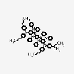 CCCCc1ccc(N(c2ccc(CCCC)cc2)c2cc3c4c(c2)N(c2ccccc2)c2cc5c(cc2B4c2ccccc2N3c2ccccc2)B2c3ccccc3N(c3ccccc3)c3cc(N(c4ccc(CCCC)cc4)c4ccc(C(C)CCC)cc4)cc(c32)N5c2ccccc2)cc1